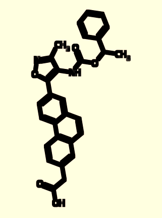 Cc1noc(-c2ccc3c(ccc4cc(CC(=O)O)ccc43)c2)c1NC(=O)OC(C)c1ccccc1